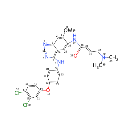 COc1cc2ncnc(Nc3ccc(Oc4ccc(Cl)c(Cl)c4)cc3)c2cc1NC(=O)C=CCN(C)C